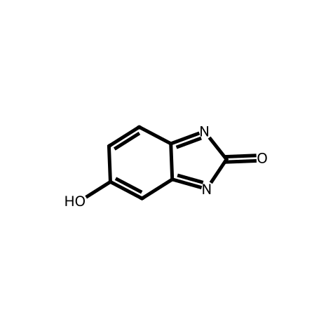 O=C1N=c2ccc(O)cc2=N1